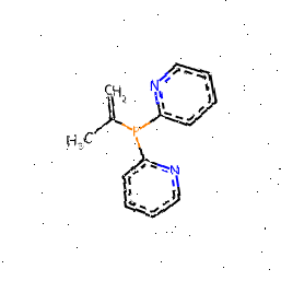 C=C(C)P(c1ccccn1)c1ccccn1